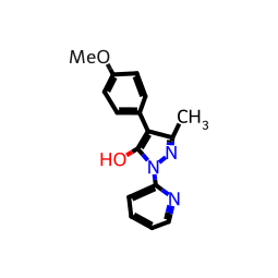 COc1ccc(-c2c(C)nn(-c3ccccn3)c2O)cc1